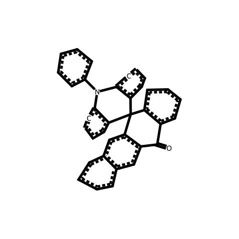 O=C1c2ccccc2C2(c3cc4ccccc4cc31)c1ccccc1N(c1ccccc1)c1ccccc12